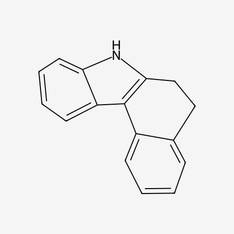 c1ccc2c(c1)CCc1[nH]c3ccccc3c1-2